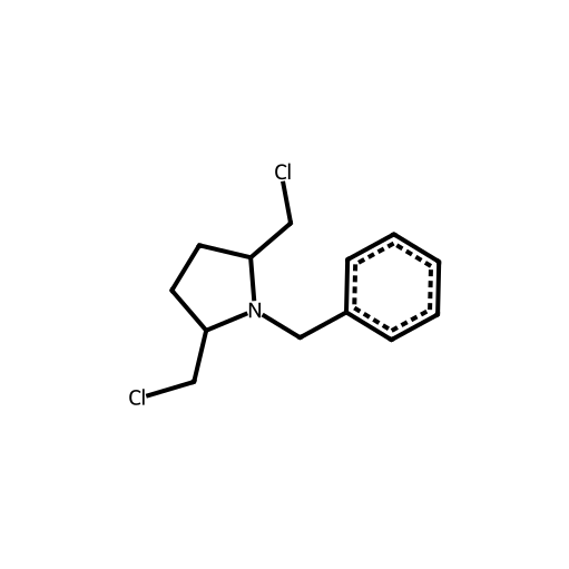 ClCC1CCC(CCl)N1Cc1ccccc1